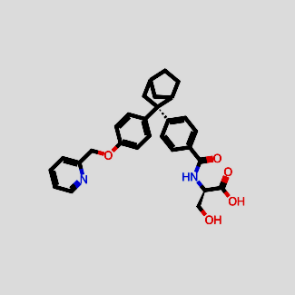 O=C(N[C@H](CO)C(=O)O)c1ccc([C@]2(c3ccc(OCc4ccccn4)cc3)CC3CCC2C3)cc1